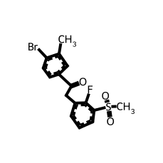 Cc1cc(C(=O)Cc2cccc(S(C)(=O)=O)c2F)ccc1Br